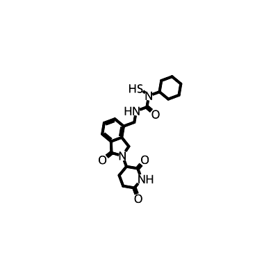 O=C1CCC(N2Cc3c(CNC(=O)N(S)C4CCCCC4)cccc3C2=O)C(=O)N1